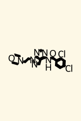 O=C(Nc1ncnc2c1cnn2CCN1CCOCC1)c1ccc(Cl)cc1Cl